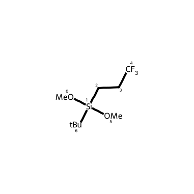 CO[Si](CCC(F)(F)F)(OC)C(C)(C)C